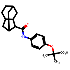 CC(C)(Oc1ccc(NC(=O)C2C3CC4CCC(C3)C2C4)cc1)C(=O)O